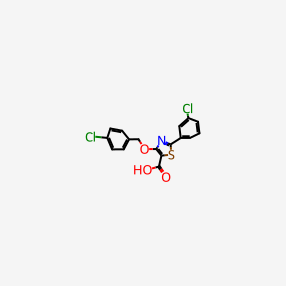 O=C(O)c1sc(-c2cccc(Cl)c2)nc1OCc1ccc(Cl)cc1